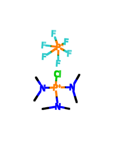 CN(C)[P+](Cl)(N(C)C)N(C)C.F[P-](F)(F)(F)(F)F